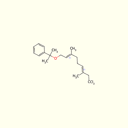 C/C(=C\COC(C)(C)c1ccccc1)CC/C=C(\C)CC(Cl)(Cl)Cl